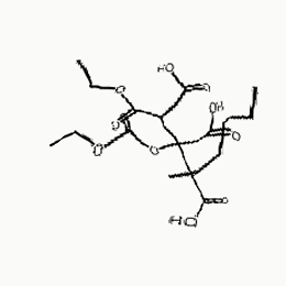 CCCCC(C)(C(=O)O)C(OC(=O)OCC)(C(=O)O)C(C(=O)O)C(=O)OCC